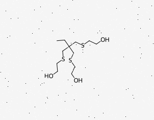 CCC(CSCCO)(CSCCO)CSCCO